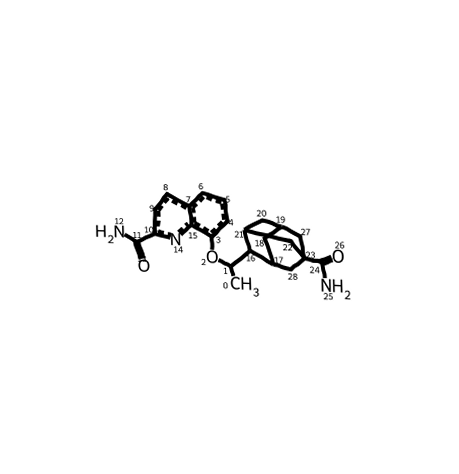 CC(Oc1cccc2ccc(C(N)=O)nc12)C1C2CC3CC1CC(C(N)=O)(C3)C2